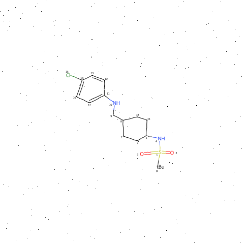 CC(C)(C)S(=O)(=O)NC1CCC(CNc2ccc(Cl)cc2)CC1